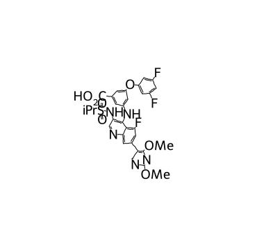 COc1ncc(-c2cc(F)c3c(Nc4cc(Oc5cc(F)cc(F)c5)cc(C(=O)O)c4)c(NS(=O)(=O)C(C)C)cnc3c2)c(OC)n1